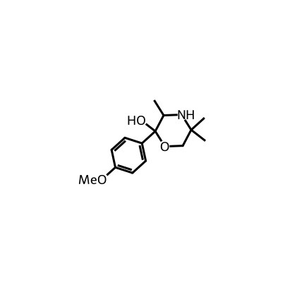 COc1ccc(C2(O)OCC(C)(C)NC2C)cc1